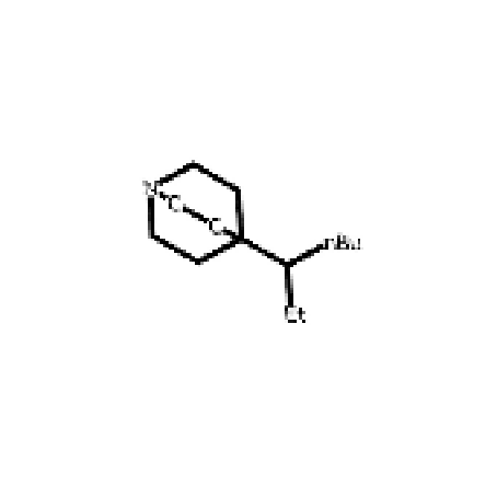 CCCCC(CC)C12CCN(CC1)CC2